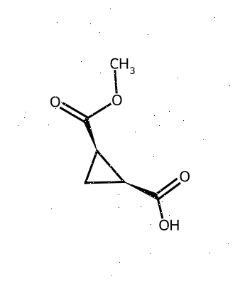 COC(=O)[C@@H]1C[C@@H]1C(=O)O